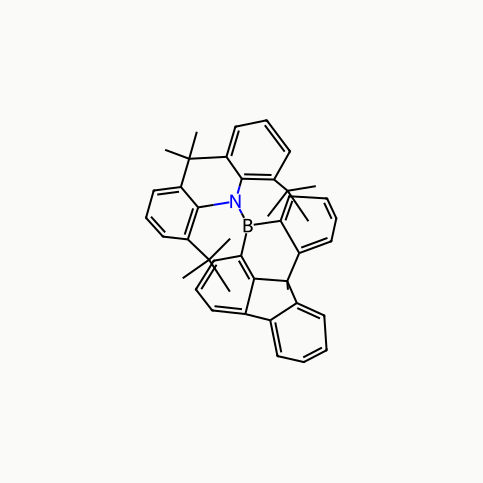 CC(C)(C)c1cccc2c1N(B1c3ccccc3C3(C)c4ccccc4-c4cccc1c43)c1c(C(C)(C)C)cccc1C2(C)C